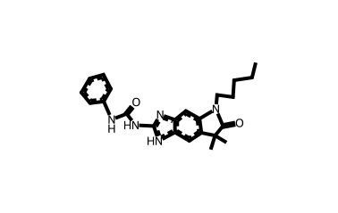 CCCCCN1C(=O)C(C)(C)c2cc3[nH]c(NC(=O)Nc4ccccc4)nc3cc21